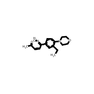 CCc1cc(C(/C=C\C(C)=O)=N/C)ccc1N1CCOCC1